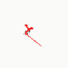 CC(C)[C@H](NC(=O)COCCOCCNC(=O)COCCOCCNC(=O)COCCOCCNC(=O)COCCOCCN)C(=O)N[C@H](C)C(=O)Nc1ccc(CSP(=O)(OC[C@@H]2CC[C@H](n3cnc4c(N)ncnc43)O2)OC2C[C@H](n3cnc4c(O)ncnc43)O[C@@H]2COP(=O)(O)O)cc1